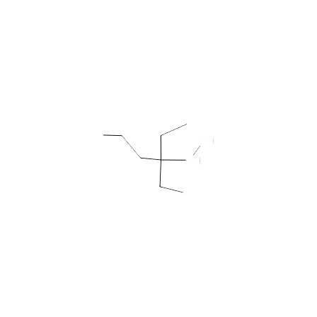 CCCC(CC)(CC)[SiH2]O